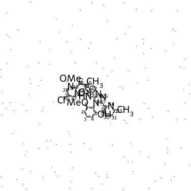 COc1cccc(O)c1-n1c(NS(=O)(=O)[C@H](C)[C@@H](OC)c2ncc(Cl)cn2)nnc1C1=C=C=CC(C)=N1